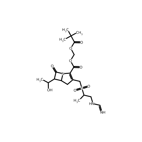 CC(O)C1C(=O)N2C(C(=O)OCOC(=O)C(C)(C)C)=C(CS(=O)(=O)C(C)CNC=N)CC12